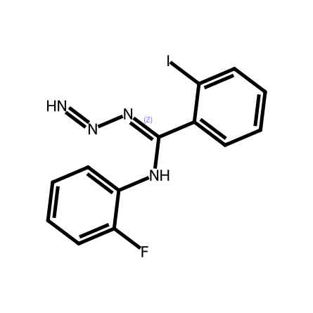 N=N/N=C(\Nc1ccccc1F)c1ccccc1I